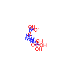 N.N.N.N.O=P(O)(O)O.O=[N+]([O-])O